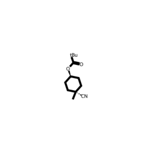 CC(C)(C)C(=O)O[C@H]1CC[C@](C)(C#N)CC1